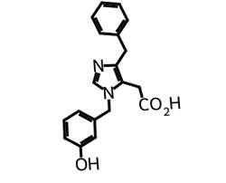 O=C(O)Cc1c(Cc2ccccc2)ncn1Cc1cccc(O)c1